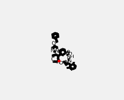 Cc1cccc(C)c1-c1cc2nc(n1)NS(=O)(=O)c1cccc(c1)C1C[C@@H](CCCC[C@@H]1c1ncc(OCc3ccccc3)cn1)O2